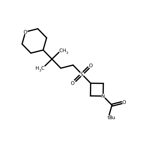 CC(C)(C)C(=O)N1CC(S(=O)(=O)CCC(C)(C)C2CCOCC2)C1